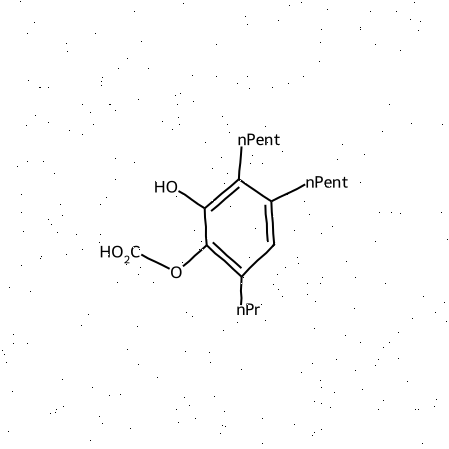 CCCCCc1cc(CCC)c(OC(=O)O)c(O)c1CCCCC